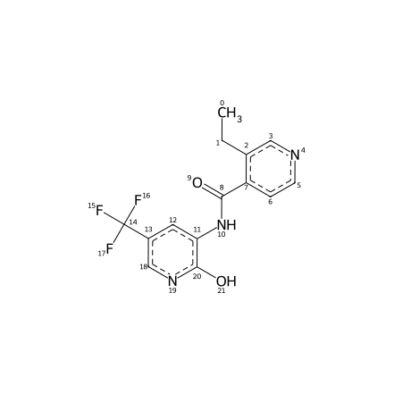 CCc1cnccc1C(=O)Nc1cc(C(F)(F)F)cnc1O